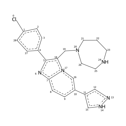 Clc1ccc(-c2nc3ccc(-c4cn[nH]c4)cn3c2CN2CCCNCC2)cc1